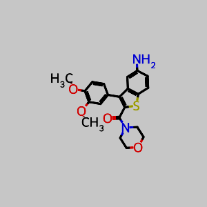 COc1ccc(-c2c(C(=O)N3CCOCC3)sc3ccc(N)cc23)cc1OC